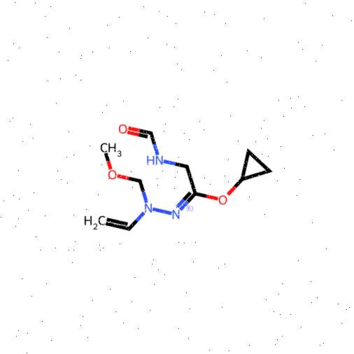 C=CN(COC)/N=C(\CNC=O)OC1CC1